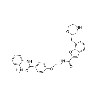 Nc1ccccc1NC(=O)c1ccc(OCCNC(=O)c2cc3cccc(CC4CNCCO4)c3o2)cc1